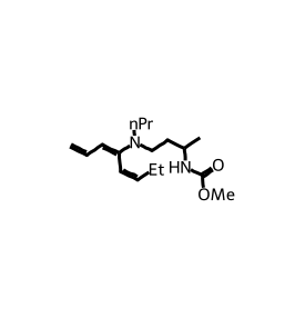 C=C/C=C(\C=C/CC)N(CCC)CCC(C)NC(=O)OC